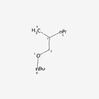 CCC[CH]OCC(C)CCC